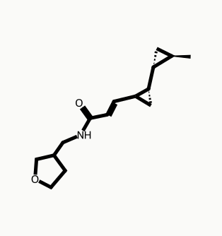 C[C@@H]1C[C@H]1[C@@H]1CC1/C=C/C(=O)NCC1CCOC1